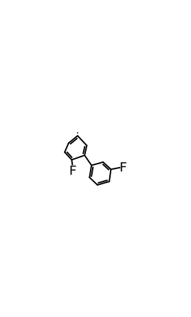 Fc1cccc(-c2c[c]ccc2F)c1